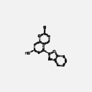 O=c1ccc2c(-c3nc4ccccc4o3)cc(O)cc2o1